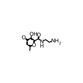 Cc1cc(=O)c(O)c(C(=O)NCCN)o1